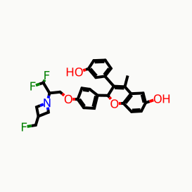 CC1=C(c2cccc(O)c2)C(c2ccc(OCC(C(F)F)N3CC(CF)C3)cc2)Oc2ccc(O)cc21